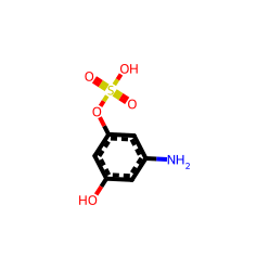 Nc1cc(O)cc(OS(=O)(=O)O)c1